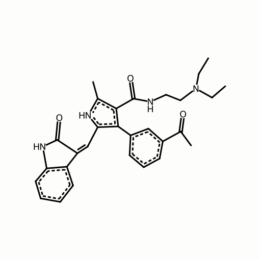 CCN(CC)CCNC(=O)c1c(C)[nH]c(C=C2C(=O)Nc3ccccc32)c1-c1cccc(C(C)=O)c1